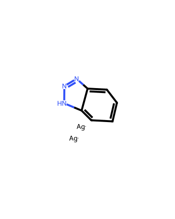 [Ag].[Ag].c1ccc2[nH]nnc2c1